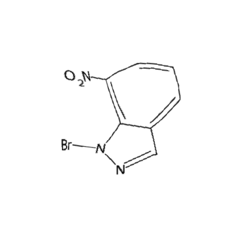 O=[N+]([O-])c1cccc2cnn(Br)c12